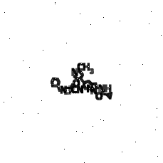 Cc1cc(-c2ccn3nc(NC(=O)C4CC4)cc3c2)c(OC[C@]2(C#N)CCN(Cc3ccccc3)C2)cn1